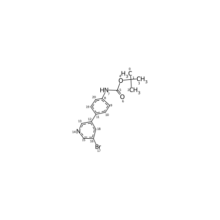 CC(C)(C)OC(=O)Nc1ccc(-c2cncc(Br)c2)cc1